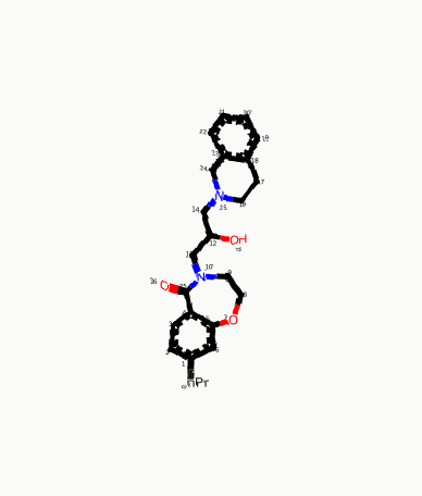 CCCc1ccc2c(c1)OCCN(CC(O)CN1CCc3ccccc3C1)C2=O